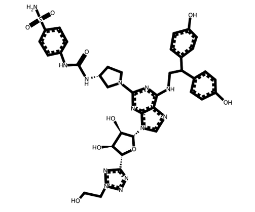 NS(=O)(=O)c1ccc(NC(=O)N[C@@H]2CCN(c3nc(NCC(c4ccc(O)cc4)c4ccc(O)cc4)c4ncn([C@@H]5O[C@H](c6nnn(CCO)n6)[C@@H](O)[C@H]5O)c4n3)C2)cc1